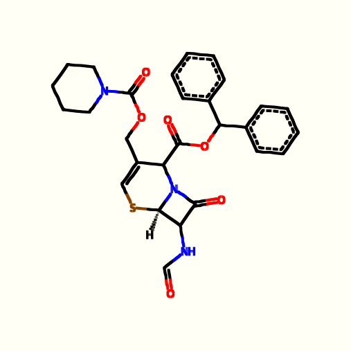 O=CNC1C(=O)N2C(C(=O)OC(c3ccccc3)c3ccccc3)C(COC(=O)N3CCCCC3)=CS[C@H]12